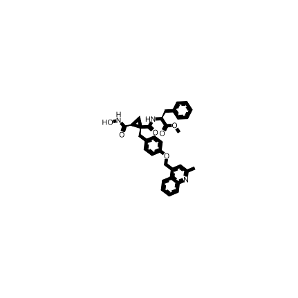 COC(=O)[C@H](Cc1ccccc1)NC(=O)[C@@]1(Cc2ccc(OCc3cc(C)nc4ccccc34)cc2)C[C@@H]1C(=O)NO